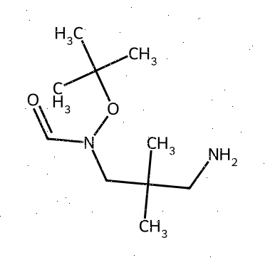 CC(C)(CN)CN(C=O)OC(C)(C)C